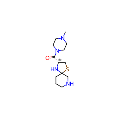 CN1CCN(C(=O)[C@@H]2CSC3(CCCNC3)N2)CC1